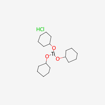 C1CCC([O][Ti]([O]C2CCCCC2)[O]C2CCCCC2)CC1.Cl